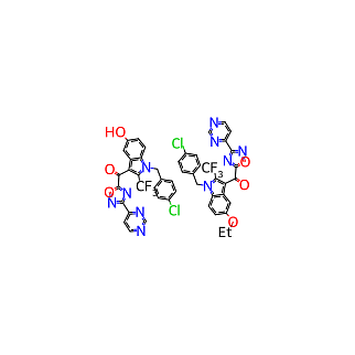 CCOc1ccc2c(c1)c(C(=O)c1nc(-c3ccncn3)no1)c(C(F)(F)F)n2Cc1ccc(Cl)cc1.O=C(c1nc(-c2ccncn2)no1)c1c(C(F)(F)F)n(Cc2ccc(Cl)cc2)c2ccc(O)cc12